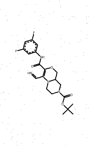 CC(C)(C)OC(=O)N1CCN2C(C=N)=C(C(=O)Nc3cc(F)cc(F)c3)OCC2C1